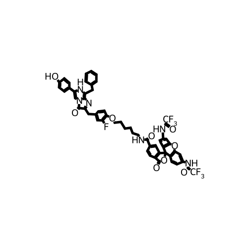 O=C(NCCCCCCOc1ccc(Cc2nc3c(Cc4ccccc4)[nH]c(-c4ccc(O)cc4)cn-3c2=O)cc1F)c1ccc2c(c1)C1(OC2=O)c2ccc(NC(=O)C(F)(F)F)cc2Oc2cc(NC(=O)C(F)(F)F)ccc21